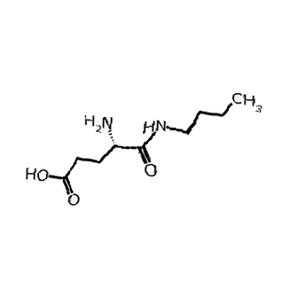 CCCCNC(=O)[C@@H](N)CCC(=O)O